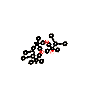 C=C1C(c2ccccc2)=C(c2ccc(Oc3ccc(C4=C(c5ccccc5)C(=C)C(c5ccccc5)=C4c4cc(C#Cc5ccccc5)cc(CCC#Cc5ccccc5)c4)cc3)cc2)C(c2ccc(Oc3ccc(C4=C(c5ccccc5)C(=O)C(c5ccccc5)=C4c4cc(C#Cc5ccccc5)cc(C#Cc5ccccc5)c4)cc3)cc2)=C1c1ccccc1